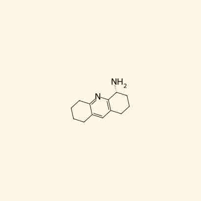 N[C@@H]1CCCc2cc3c(nc21)CCCC3